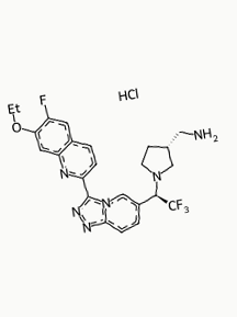 CCOc1cc2nc(-c3nnc4ccc([C@@H](N5CC[C@H](CN)C5)C(F)(F)F)cn34)ccc2cc1F.Cl